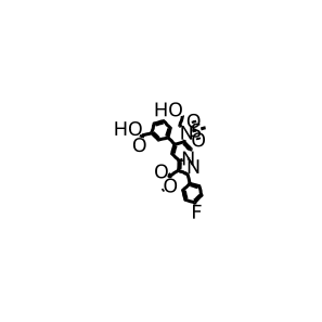 COC(=O)c1c(-c2ccc(F)cc2)nn2cc(N(CCO)S(C)(=O)=O)c(-c3cccc(C(=O)O)c3)cc12